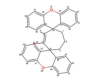 CC1=C(C)C2(CCCC13c1ccccc1Oc1ccccc13)c1ccccc1Oc1ccccc12